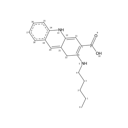 CCCCCNC1=C(C(=O)O)C=C2Nc3ccccc3C=C2C1